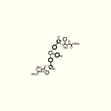 COC(=O)N[C@H](C(=O)N1CCC[C@H]1c1nc(-c2ccc([C@H]3CC[C@H](c4ccc(-c5c[nH]c([C@@H]6CCCN6C(=O)[C@@H](NC(=O)OC)C(C)(C)C)n5)cc4)N3c3ccc(F)cc3)cc2)c[nH]1)C(C)(C)C